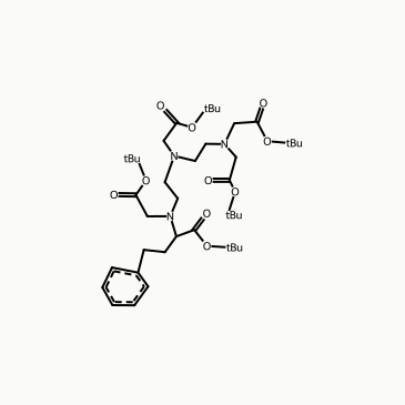 CC(C)(C)OC(=O)CN(CCN(CC(=O)OC(C)(C)C)CC(=O)OC(C)(C)C)CCN(CC(=O)OC(C)(C)C)C(CCc1ccccc1)C(=O)OC(C)(C)C